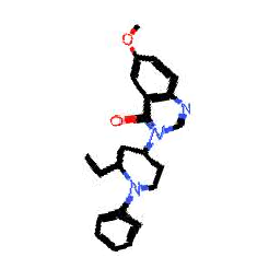 CCC1CC(n2cnc3ccc(OC)cc3c2=O)CCN1c1ccccc1